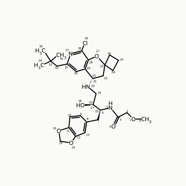 COCC(=O)N[C@@H](Cc1ccc2c(c1)OCO2)[C@@H](O)CN[C@H]1CC2(CCC2)Oc2c1cc(CC(C)(C)C)nc2Cl